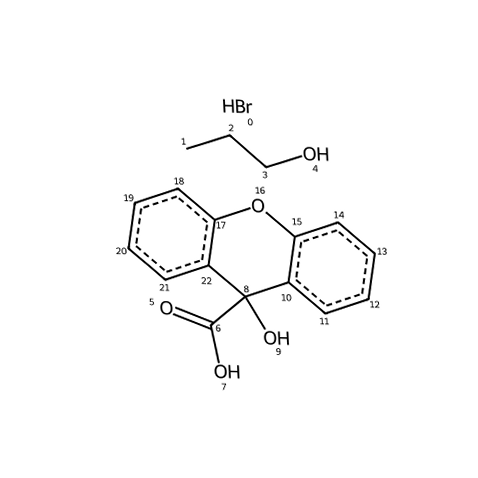 Br.CCCO.O=C(O)C1(O)c2ccccc2Oc2ccccc21